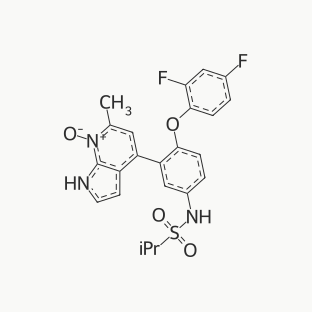 Cc1cc(-c2cc(NS(=O)(=O)C(C)C)ccc2Oc2ccc(F)cc2F)c2cc[nH]c2[n+]1[O-]